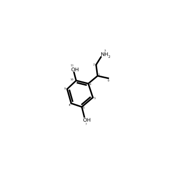 CC(CN)c1cc(O)ccc1O